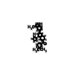 Cc1c[nH]c2ncc(-c3cc4c(c([C@@H]5CCCN5)c3)CN(C(=O)N3CCOC(C)(C)C3)CC4)cc12